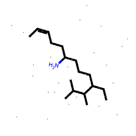 C/C=C\CCC(N)CCCC(CC)C(C)C(C)C